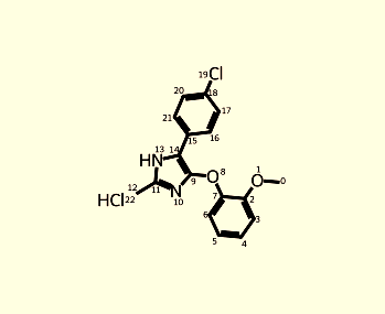 COc1ccccc1Oc1nc(C)[nH]c1-c1ccc(Cl)cc1.Cl